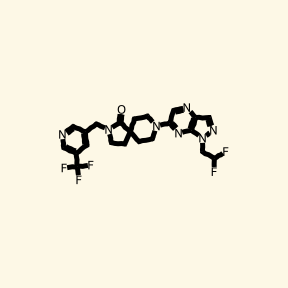 O=C1N(Cc2cncc(C(F)(F)F)c2)CCC12CCN(c1cnc3cnn(CC(F)F)c3n1)CC2